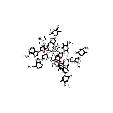 CC[C@H]1O[C@@H](n2cc(C)c(N)nc2=O)C[C@H]1OP(=O)(S)OC[C@H]1O[C@@H](n2cc(C)c(N)nc2=O)C[C@H]1OP(=O)(S)OC[C@H]1O[C@@H](n2cc(C)c(N)nc2=O)C[C@H]1OP(=O)(S)OC[C@H]1O[C@@H](n2cnc3c(N)ncnc32)C[C@H]1OP(=O)(S)OC[C@H]1O[C@@H](n2cc(C)c(=O)[nH]c2=O)C[C@H]1OP(=O)(S)OC[C@H]1O[C@@H](n2cc(C)c(=O)[nH]c2=O)C[C@H]1OP(=O)(S)OC[C@H]1O[C@@H](n2cnc3c(N)ncnc32)C[C@H]1OP(=O)(S)OC